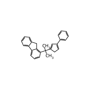 CC(C)(C1=CC(c2ccccc2)=CC1)c1cccc2c1Cc1ccccc1-2